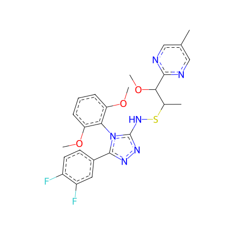 COc1cccc(OC)c1-n1c(NSC(C)C(OC)c2ncc(C)cn2)nnc1-c1ccc(F)c(F)c1